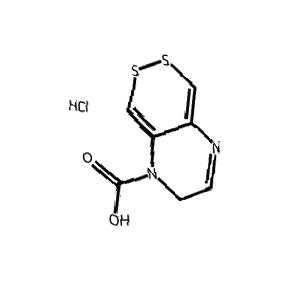 Cl.O=C(O)N1CC=NC2=CSSC=C21